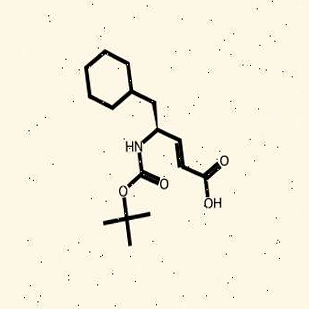 CC(C)(C)OC(=O)N[C@H](C=CC(=O)O)CC1CCCCC1